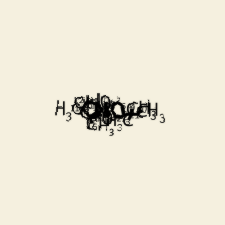 CCC(C)(C)C1=CCC=C(S(=O)(=O)N2CC3(C)CC2CC(C)(C)C3)C=C1